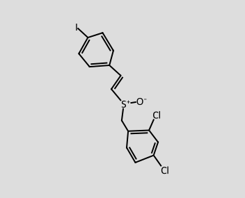 [O-][S+](C=Cc1ccc(I)cc1)Cc1ccc(Cl)cc1Cl